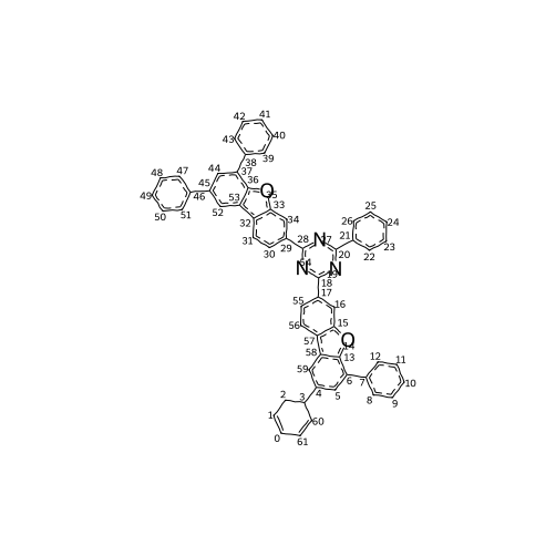 C1=CCC(c2cc(-c3ccccc3)c3oc4cc(-c5nc(-c6ccccc6)nc(-c6ccc7c(c6)oc6c(-c8ccccc8)cc(-c8ccccc8)cc67)n5)ccc4c3c2)C=C1